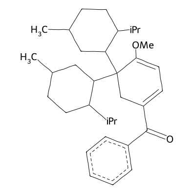 COC1=CC=C(C(=O)c2ccccc2)CC1(C1CC(C)CCC1C(C)C)C1CC(C)CCC1C(C)C